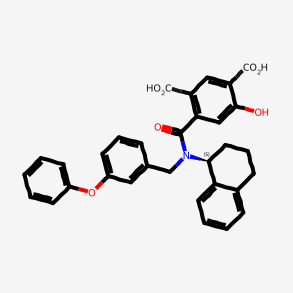 O=C(O)c1cc(C(=O)O)c(C(=O)N(Cc2cccc(Oc3ccccc3)c2)[C@H]2CCCc3ccccc32)cc1O